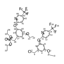 CCOc1cc(CCl)cc(Oc2ccc(C(F)(F)F)cn2)c1.CCOc1cc(CP(=O)(OCC)OCC)cc(Oc2ccc(C(F)(F)F)cn2)c1